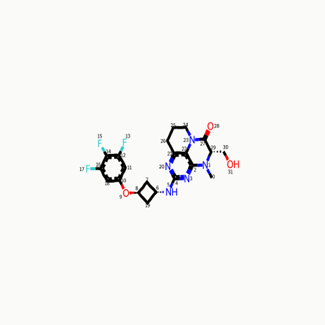 CN1c2nc(N[C@H]3C[C@H](Oc4cc(F)c(F)c(F)c4)C3)nc3c2N(CCC3)C(=O)[C@@H]1CO